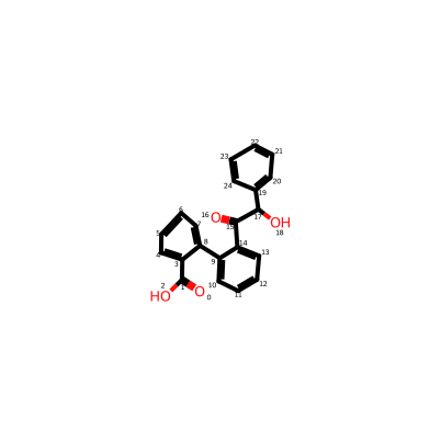 O=C(O)c1ccccc1-c1ccccc1C(=O)C(O)c1ccccc1